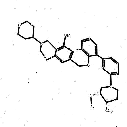 CCO[C@@H]1CN(c2cccc(-c3cccc(C)c3OCc3cc4c(c(OC)c3)CN(C3CCOCC3)CC4)n2)CC[C@@H]1C(=O)O